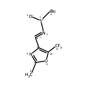 CCC(C)[S+]([O-])/N=C/c1nc(C)oc1C(F)(F)F